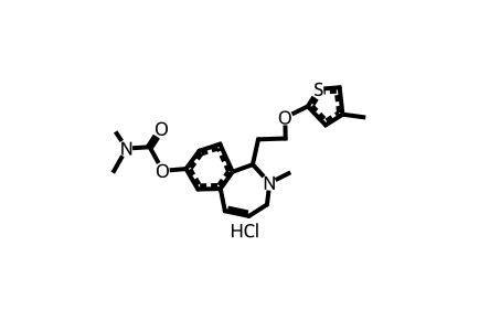 Cc1csc(OCCC2c3ccc(OC(=O)N(C)C)cc3C=CCN2C)c1.Cl